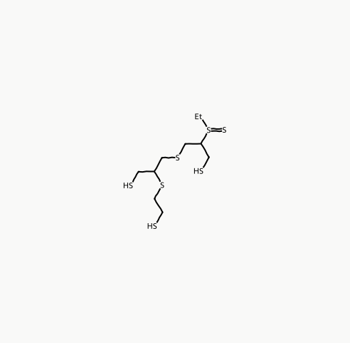 CCS(=S)C(CS)CSCC(CS)SCCS